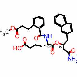 COC(=O)CCc1ccccc1C(=O)N[C@@H](CCCC(=O)O)C(=O)O[C@H](CC(N)=O)Cc1ccc2ccccc2c1